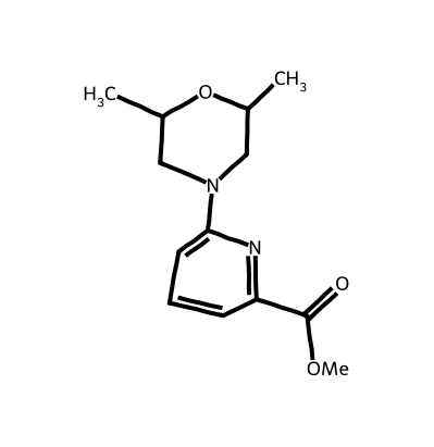 COC(=O)c1cccc(N2CC(C)OC(C)C2)n1